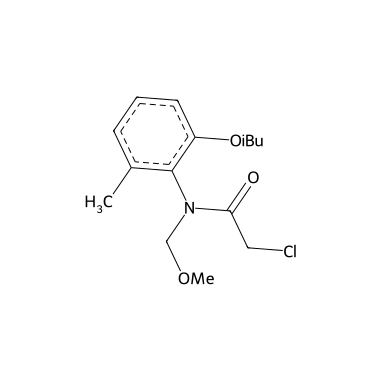 COCN(C(=O)CCl)c1c(C)cccc1OCC(C)C